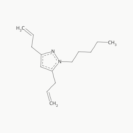 C=CCc1cc(CC=C)n(CCCCC)n1